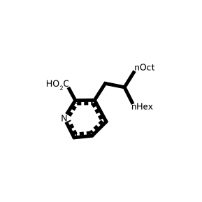 CCCCCCCCC(CCCCCC)Cc1cccnc1C(=O)O